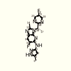 Cc1cc(Nc2nc3c(cc2F)nc(C)n3[C@@H](C)c2ncc(F)cn2)n[nH]1